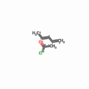 C=CC=CC.CC(=O)Cl